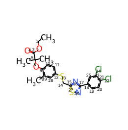 CCOC(=O)C(C)(C)Oc1ccc(SCc2nc(-c3ccc(Cl)c(Cl)c3)ns2)cc1C